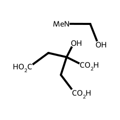 CNCO.O=C(O)CC(O)(CC(=O)O)C(=O)O